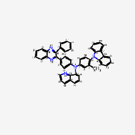 Cc1cc(N(c2ccc(-c3nc4ccccc4nc3-c3ccccc3)cc2)c2cccc3cccnc23)ccc1-n1c2ccccc2c2ccccc21